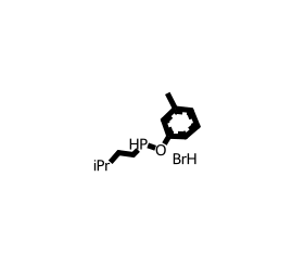 Br.Cc1cccc(OPCCC(C)C)c1